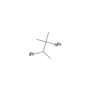 CCCC(C)(C)C(C)C(C)C